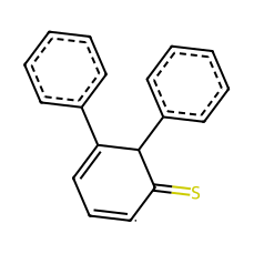 S=C1[C]=CC=C(c2ccccc2)C1c1ccccc1